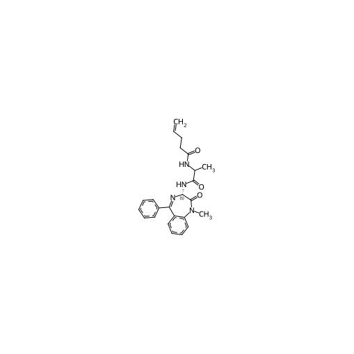 C=CCCC(=O)NC(C)C(=O)N[C@H]1N=C(c2ccccc2)c2ccccc2N(C)C1=O